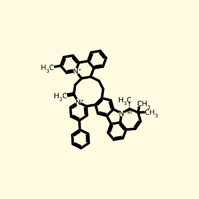 C=C1CC2C(CCc3cc4c(cc3-c3cc(-c5ccccc5)cc[n+]31)c1cccc3c1n4[C@H](C)C(C)(C)C=C3)c1ccccc1-c1ccc(C)c[n+]12